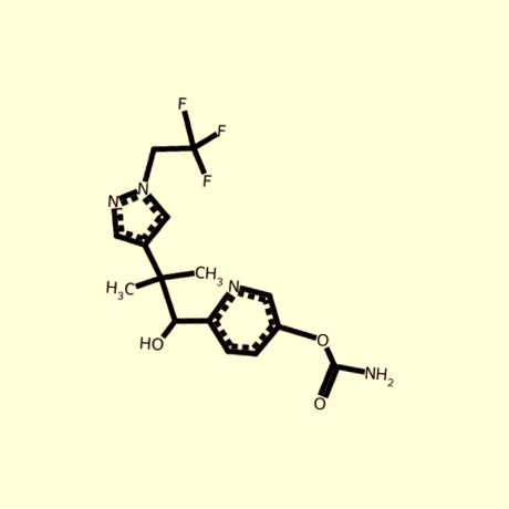 CC(C)(c1cnn(CC(F)(F)F)c1)C(O)c1ccc(OC(N)=O)cn1